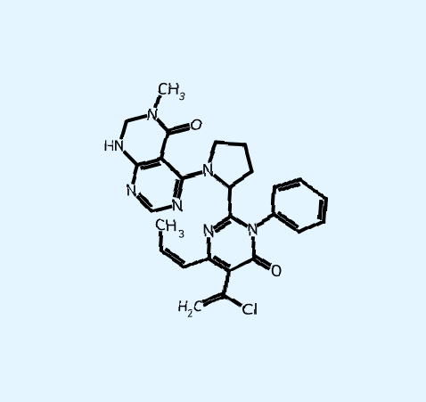 C=C(Cl)c1c(/C=C\C)nc(C2CCCN2c2ncnc3c2C(=O)N(C)CN3)n(-c2ccccc2)c1=O